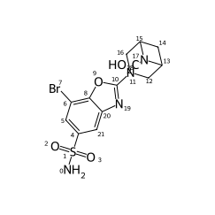 NS(=O)(=O)c1cc(Br)c2oc(N3CC4CC(C3)N4C(=O)O)nc2c1